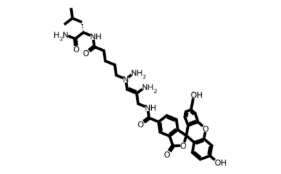 CC(C)C[C@H](NC(=O)CCCCN(N)/C=C(\N)CNC(=O)c1ccc2c(c1)C(=O)OC21c2ccc(O)cc2Oc2cc(O)ccc21)C(N)=O